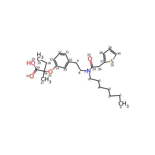 CCCCCCCN(CCc1cccc(OC(C)(CC)C(=O)O)c1)C(=O)Cc1cccs1